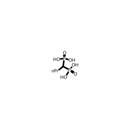 CCC[C](P(=O)(O)O)P(=O)(O)O